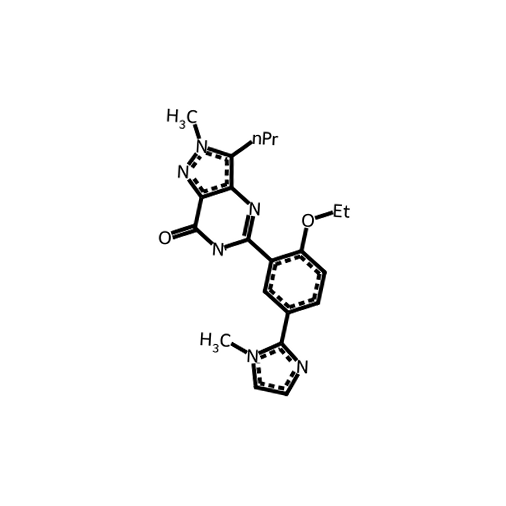 CCCc1c2c(nn1C)C(=O)[N]C(c1cc(-c3nccn3C)ccc1OCC)=N2